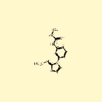 CCOC(=O)/N=c1\sccn1-c1ccnc(NC(=O)OC(C)(C)C)c1